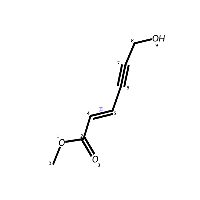 COC(=O)/C=C/C#CCO